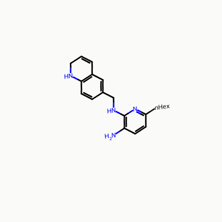 CCCCCCc1ccc(N)c(NCc2ccc3c(c2)C=CCN3)n1